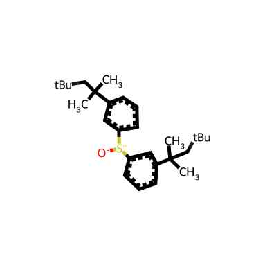 CC(C)(C)CC(C)(C)c1cccc([S+]([O-])c2cccc(C(C)(C)CC(C)(C)C)c2)c1